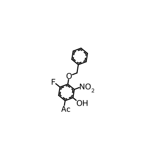 CC(=O)c1cc(F)c(OCc2ccccc2)c([N+](=O)[O-])c1O